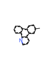 Cc1ccc2c3ccccc3c3ncccc3c2c1